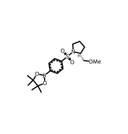 COC[C@H]1CCCN1S(=O)(=O)c1ccc(B2OC(C)(C)C(C)(C)O2)cc1